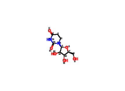 O=C1CCN([C@H]2O[C@@H](CO)C(O)C2O)C(=O)N1